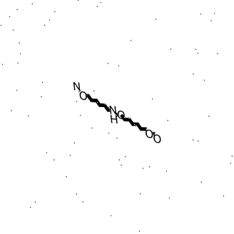 N#COCCCCCCNCOCCCCCCOC=O